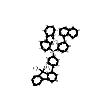 CC1(C)c2ccccc2-c2cccc(-c3ccc(N(c4cccc(-c5cccc6ccccc56)c4)c4cccc5c4oc4ccccc45)cc3)c21